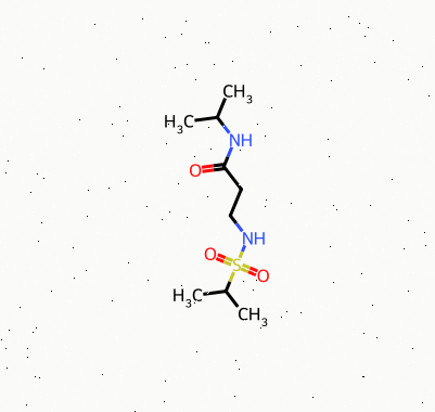 CC(C)NC(=O)CCNS(=O)(=O)C(C)C